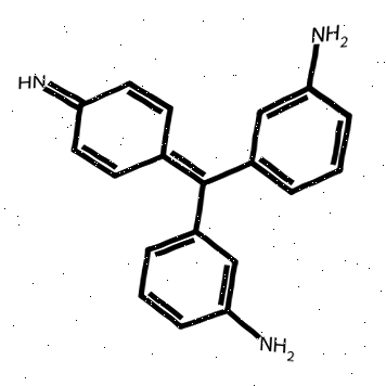 N=C1C=CC(=C(c2cccc(N)c2)c2cccc(N)c2)C=C1